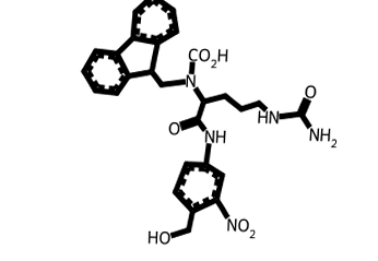 NC(=O)NCCCC(C(=O)Nc1ccc(CO)c([N+](=O)[O-])c1)N(CC1c2ccccc2-c2ccccc21)C(=O)O